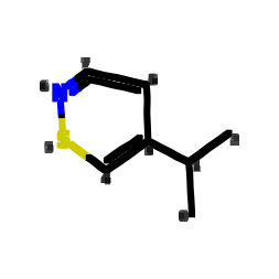 CC(C)C1=CSN=C=C1